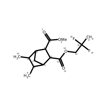 COC(=O)C1C2CC(C(C)C2C)C1C(=O)OCC(C)(F)F